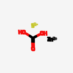 O=C(O)O.[S-2].[Zn+2]